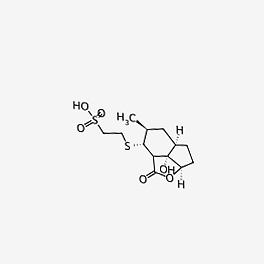 C[C@H]1C[C@H]2CC[C@H]3OC(=O)C([C@@H]1SCCS(=O)(=O)O)[C@@]23O